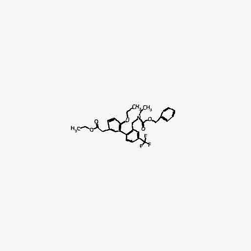 CCOC(=O)Cc1ccc(OCC)c(-c2ccc(C(F)(F)F)cc2CN(CC)C(=O)OCc2ccccc2)c1